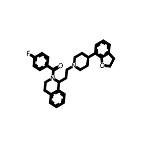 O=C(c1ccc(F)cc1)N1CCc2ccccc2C1CCN1CCC(c2cccc3c2OCC3)CC1